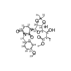 COC(=O)[C@H](C)[C@H](O)[C@H]1O[C@@H](n2ccc(=O)n(Cc3ccc(OC)cc3)c2=O)C2OC(C)(C)O[C@H]21